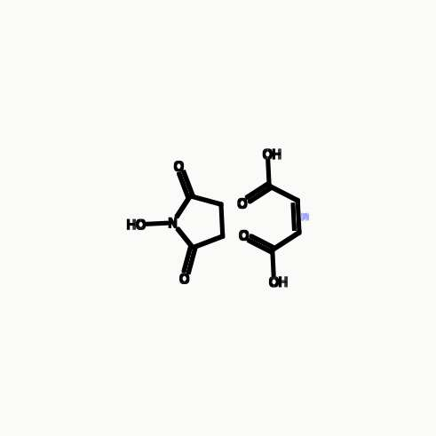 O=C(O)/C=C\C(=O)O.O=C1CCC(=O)N1O